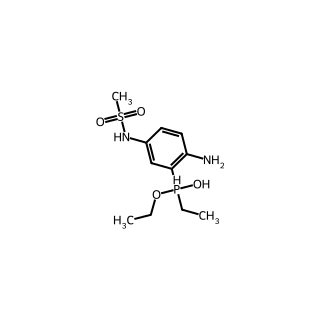 CCO[PH](O)(CC)c1cc(NS(C)(=O)=O)ccc1N